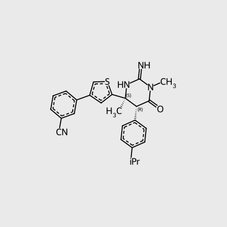 CC(C)c1ccc([C@H]2C(=O)N(C)C(=N)N[C@]2(C)c2cc(-c3cccc(C#N)c3)cs2)cc1